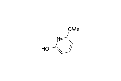 COc1cccc(O)n1